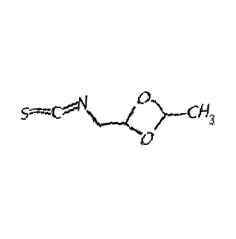 CC1OC(CN=C=S)O1